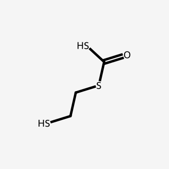 O=C(S)SCCS